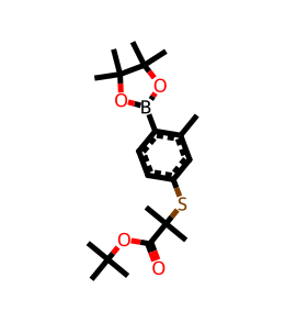 Cc1cc(SC(C)(C)C(=O)OC(C)(C)C)ccc1B1OC(C)(C)C(C)(C)O1